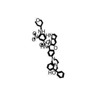 O=C(NS(=O)(=O)c1ccc(NCC2CCOCC2)c([N+](=O)[O-])c1)c1ccc(N2CCN(CC(O)(c3ccccc3)c3ccccc3)CC2)cc1Oc1cnc2[nH]ccc2c1